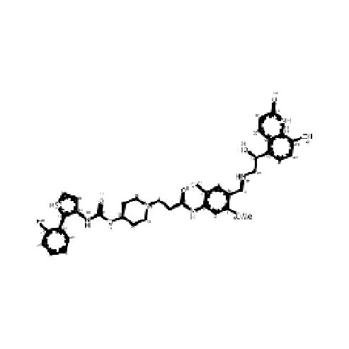 COc1cc(NC(=O)CCN2CCC(OC(=O)Nc3ccsc3-c3ccccc3F)CC2)c(Cl)cc1CNCC(O)c1ccc(O)c2[nH]c(=O)ccc12